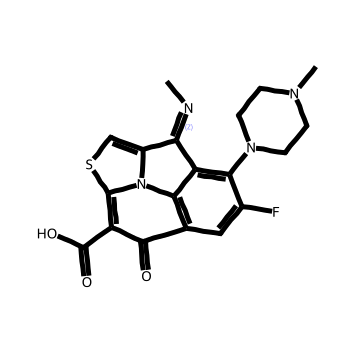 C/N=c1/c2c(N3CCN(C)CC3)c(F)cc3c(=O)c(C(=O)O)c4scc1n4c32